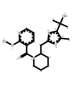 CCOc1ncccc1C(=O)N1CCCCC1Cc1nc(C(C)(C)O)c(C)o1